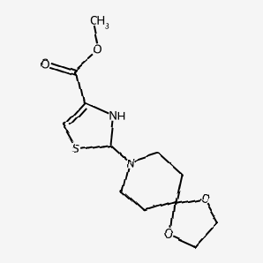 COC(=O)C1=CSC(N2CCC3(CC2)OCCO3)N1